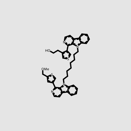 COCc1cc(-c2nccc3c4ccccc4n(CCCCCCCCn4c5ccccc5c5ccnc(-c6cscc6CCO)c54)c23)cs1